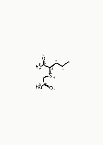 CCCC(SCC(=O)O)C(=O)O